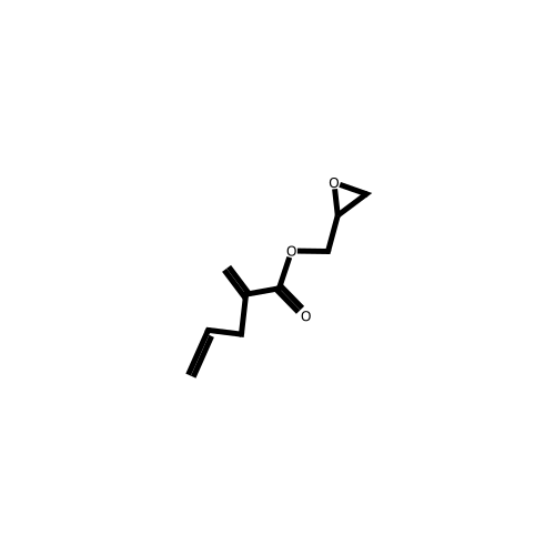 C=CCC(=C)C(=O)OCC1CO1